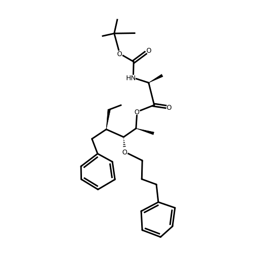 CC[C@H](Cc1ccccc1)[C@@H](OCCCc1ccccc1)[C@H](C)OC(=O)[C@H](C)NC(=O)OC(C)(C)C